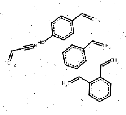 C=CC#N.C=Cc1ccc(O)cc1.C=Cc1ccccc1.C=Cc1ccccc1C=C